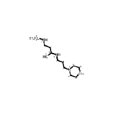 O=C(O)NCCC(O)NCCCN1CCOCC1